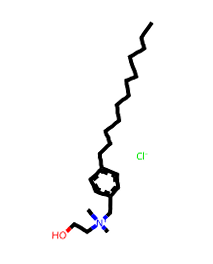 CCCCCCCCCCCCc1ccc(C[N+](C)(C)CCO)cc1.[Cl-]